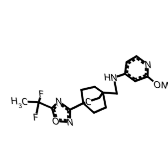 COc1cc(NCC23CCC(c4noc(C(C)(F)F)n4)(CC2)CC3)ccn1